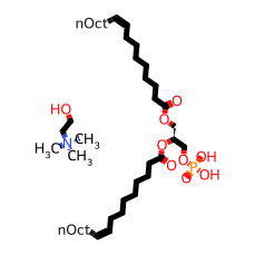 CCCCCCCC/C=C\CCCCCCCC(=O)OC[C@H](COP(=O)(O)O)OC(=O)CCCCCCC/C=C\CCCCCCCC.C[N+](C)(C)CCO